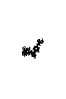 COC(=O)C=Cc1ccc(C2CCCN2CCc2nnn(C)n2)cc1